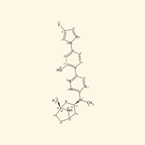 CN(c1ncc(-c2ccc(-n3cc(F)cn3)cc2O)nn1)[C@H]1CC2CC[C@](C)(C1)N2